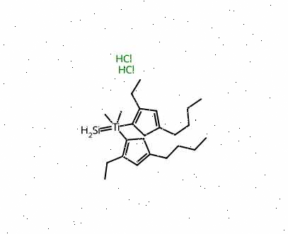 CCCCC1=CC(CC)=[C]([Ti]([CH3])([CH3])(=[SiH2])[C]2=C(CC)C=C(CCCC)C2)C1.Cl.Cl